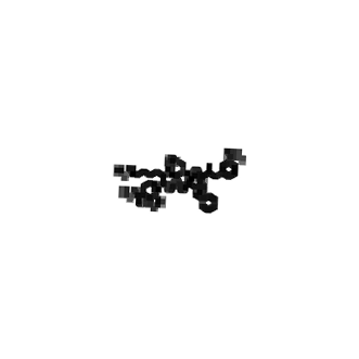 CC(C)CC(NC(=O)C(Cc1ccccc1)NC(=O)C(C)Cc1cccc(N)c1)C(=O)NC(CCCCN)C(=O)N1CCC(N)(C(=O)O)CC1